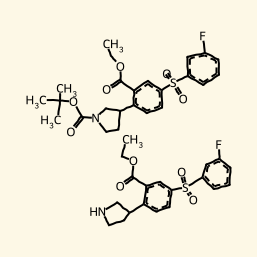 CCOC(=O)c1cc(S(=O)(=O)c2cccc(F)c2)ccc1C1CCN(C(=O)OC(C)(C)C)C1.CCOC(=O)c1cc(S(=O)(=O)c2cccc(F)c2)ccc1C1CCNC1